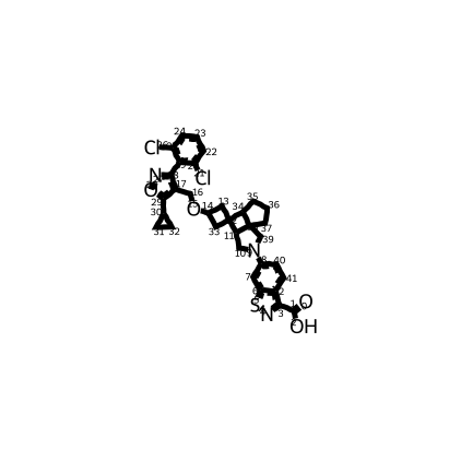 O=C(O)c1nsc2cc(N3CC4C5(CC(OCc6c(-c7c(Cl)cccc7Cl)noc6C6CC6)C5)C5CCCC54C3)ccc12